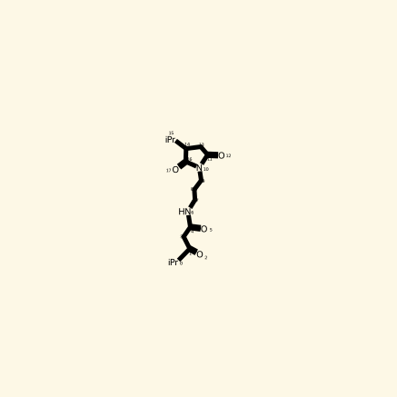 CC(C)C(=O)CC(=O)NCCCN1C(=O)CC(C(C)C)C1=O